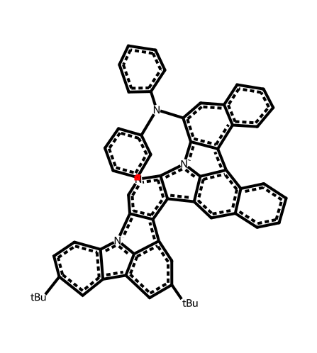 CC(C)(C)c1ccc2c(c1)c1cc(C(C)(C)C)cc3c4c5c6cc7ccccc7c7c8c9ccccc9cc(N(c9ccccc9)c9ccccc9)c8n(c5ncc4n2c13)c67